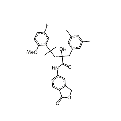 COc1ccc(F)cc1C(C)(C)CC(O)(Cc1cc(C)cc(C)c1)C(=O)Nc1ccc2c(c1)COC2=O